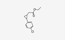 CCOC(=O)CC1CC1c1ccc(Cl)cc1